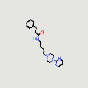 O=C(CCc1ccccc1)NCCCCN1CCN(c2ncccn2)CC1